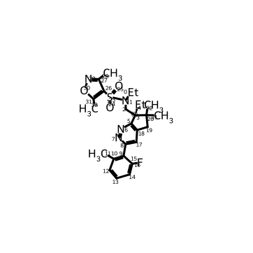 CCN(C[C@@]1(CC)c2nnc(-c3c(C)cccc3F)cc2CC1(C)C)S(=O)(=O)c1c(C)noc1C